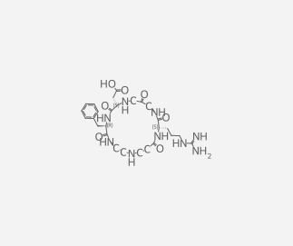 N=C(N)NCCC[C@@H]1NC(=O)CCNCCNC(=O)[C@@H](Cc2ccccc2)NC(=O)[C@H](CC(=O)O)NCC(=O)CNC1=O